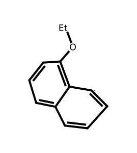 CCOc1cccc2ccc[c]c12